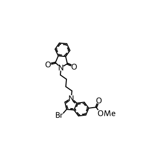 COC(=O)c1ccc2c(Br)cn(CCCCN3C(=O)c4ccccc4C3=O)c2c1